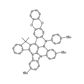 CC(C)(C)c1ccc(N2B3c4cc(C(C)(C)C)ccc4-n4c5ccc(C(C)(C)C)cc5c5c6c(c(c3c54)-c3cc4c(cc32)Oc2ccccc2O4)C(C)(C)c2ccccc2-6)cc1